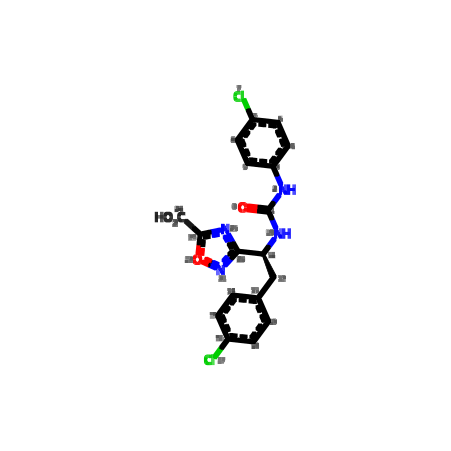 O=C(Nc1ccc(Cl)cc1)N[C@@H](Cc1ccc(Cl)cc1)c1noc(C(=O)O)n1